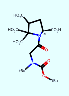 CC(C)(C)OC(=O)N(CC(=O)N1[C@H](C(=O)O)CC(C(=O)O)C1(C(=O)O)C(=O)O)C(C)(C)C